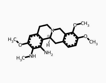 CNc1c(OC)cc2c(c1N)[C@@H]1Cc3ccc(OC)c(OC)c3CN1CC2